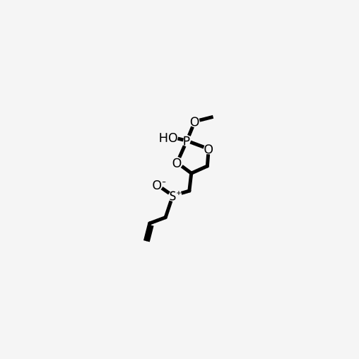 C=CC[S+]([O-])CC1CO[P](O)(OC)O1